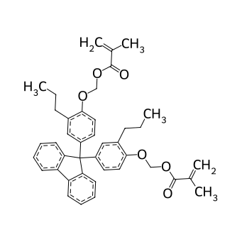 C=C(C)C(=O)OCOc1ccc(C2(c3ccc(OCOC(=O)C(=C)C)c(CCC)c3)c3ccccc3-c3ccccc32)cc1CCC